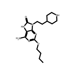 CCCCOc1nc(N)c2[nH]c(=O)n(CCC3CCNCC3)c2n1